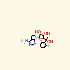 CC(O)(c1ccccc1F)C1O[C@@H](n2ccc3c(N)ncnc32)[C@H](O)[C@@H]1O